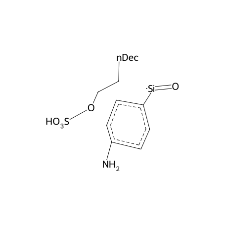 CCCCCCCCCCCCOS(=O)(=O)O.Nc1ccc([Si]=O)cc1